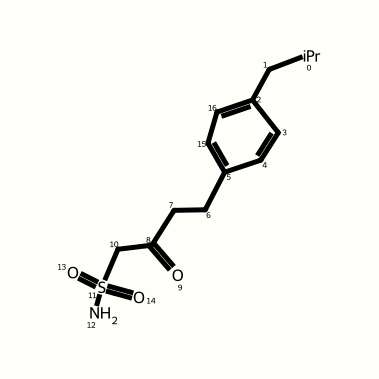 CC(C)Cc1ccc(CCC(=O)CS(N)(=O)=O)cc1